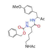 COc1ccc(CC(NC(=O)C(CCCCNC(C)=O)NC(=O)OCc2ccccc2)C(C)=O)cc1